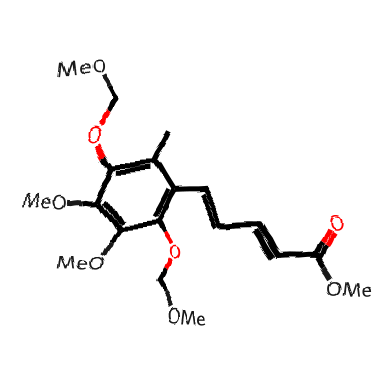 COCOc1c(C)c(C=CC=CC(=O)OC)c(OCOC)c(OC)c1OC